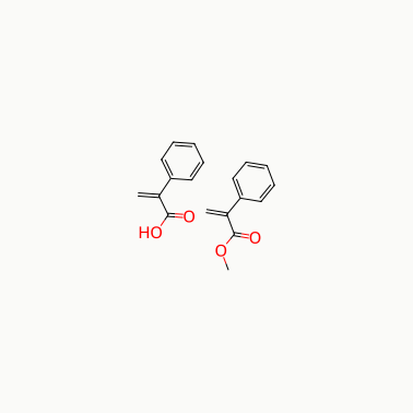 C=C(C(=O)O)c1ccccc1.C=C(C(=O)OC)c1ccccc1